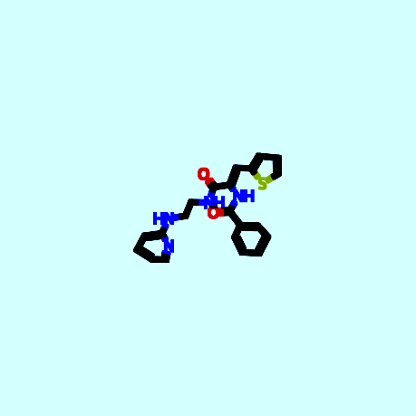 O=C(NCCNc1ccccn1)/C(=C/c1cccs1)NC(=O)c1ccccc1